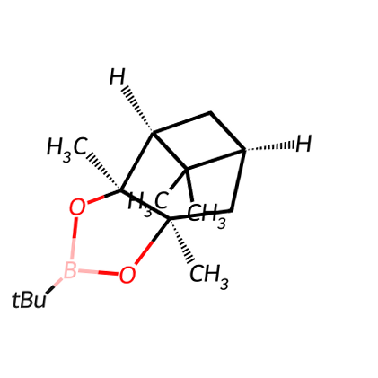 CC(C)(C)B1O[C@]2(C)C[C@@H]3C[C@@H](C3(C)C)[C@]2(C)O1